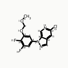 COCOc1cc(-n2ncc3cc(Cl)ncc32)cc(F)c1F